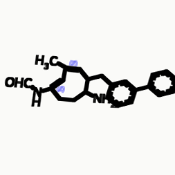 CC1=C/C(Cc2cccc(-c3ccccc3)c2)C(N)CC\C(NC=O)=C\1